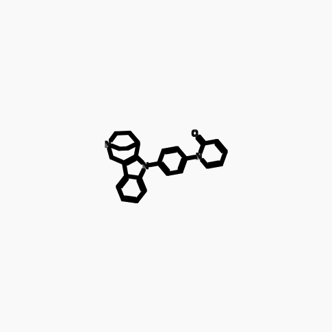 O=c1ccccn1-c1ccc(-n2c3c(c4ccccc42)CN2CCC3CC2)cc1